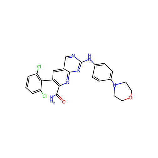 NC(=O)c1nc2nc(Nc3ccc(N4CCOCC4)cc3)ncc2cc1-c1c(Cl)cccc1Cl